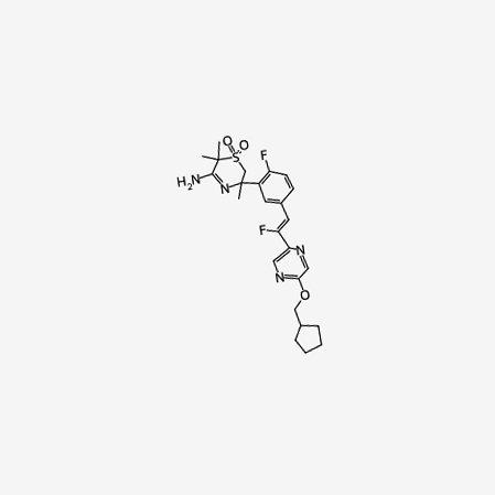 CC1(c2cc(C=C(F)c3cnc(OCC4CCCC4)cn3)ccc2F)CS(=O)(=O)C(C)(C)C(N)=N1